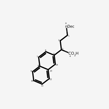 CCCCCCCCCCCCC(C(=O)O)c1ccc2ccccc2c1